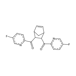 O=C(c1ccc(F)cn1)C1C2C=CC(C2)C1C(=O)c1ccc(F)cn1